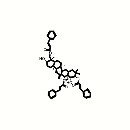 C=CCC1[C@@]2(C)CC[C@H](O)[C@](C)(COC(=O)/C=C/c3ccccc3)C2CC[C@@]1(C)[C@@]1(C)CC2CC(C)(C)[C@@H](OC(=O)/C=C/c3ccccc3)[C@H](O)[C@]2(COC(=O)/C=C/c2ccccc2)[C@H](O)C1